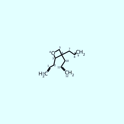 C=CCC1OCC1(CC=C)CC=C